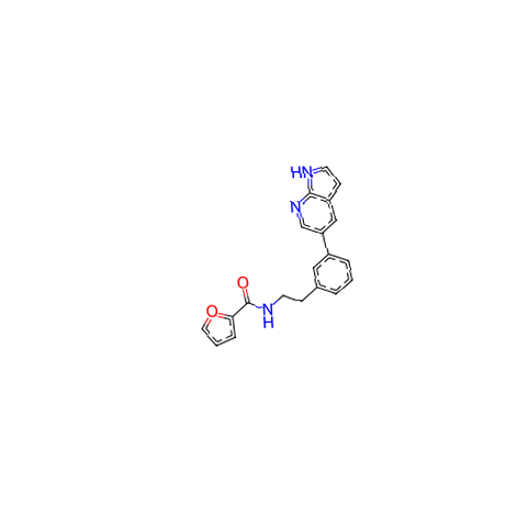 O=C(NCCc1cccc(-c2cnc3[nH]ccc3c2)c1)c1ccco1